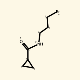 O=C(NCCCBr)C1CC1